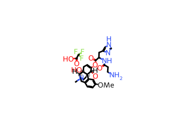 COc1ccc2c3c1O[C@H]1C(OC(=O)C(Cc4c[nH]cn4)NC(=O)CCN)=CC[C@@]4(O)[C@@H](C2)N(C)CC[C@]314.O=C(O)C(F)(F)F